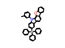 Cc1cccc(-n2c3ccc([Si](c4ccccc4)(c4ccccc4)c4ccccc4)cc3c3ccc4c5ccccc5oc4c32)c1